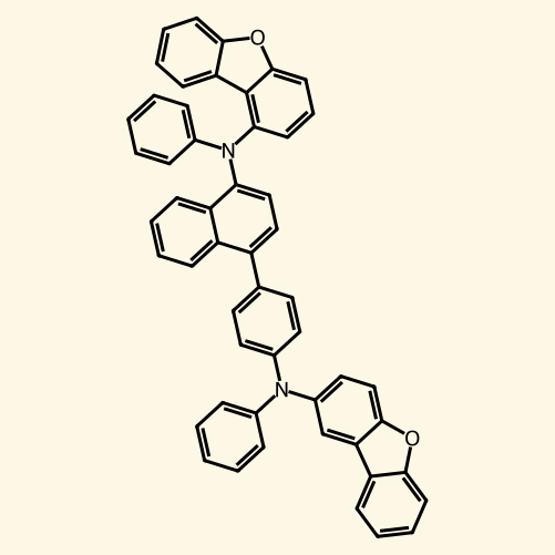 c1ccc(N(c2ccc(-c3ccc(N(c4ccccc4)c4cccc5oc6ccccc6c45)c4ccccc34)cc2)c2ccc3oc4ccccc4c3c2)cc1